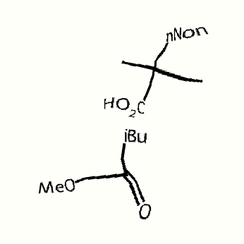 CCC(C)C(=O)OC.CCCCCCCCCC(C)(C)C(=O)O